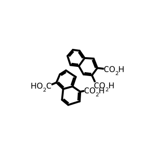 O=C(O)c1cc2ccccc2cc1C(=O)O.O=C(O)c1cccc2c(C(=O)O)cccc12